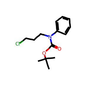 CC(C)(C)OC(=O)N(CCCCl)c1ccccc1